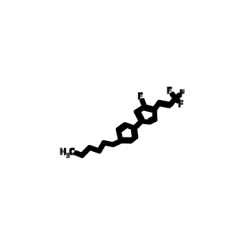 CCCCCCc1ccc(-c2ccc(/C=C/C(F)(F)F)c(F)c2)cc1